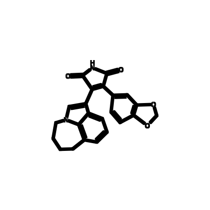 O=C1NC(=O)C(c2cn3c4c(cccc24)CCCC3)=C1c1ccc2c(c1)OCO2